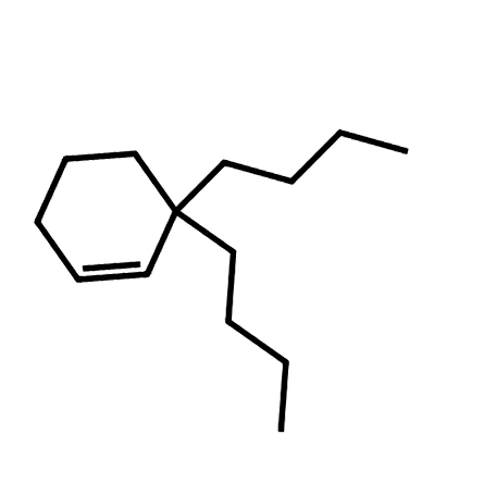 CCCCC1(CCCC)C=CCCC1